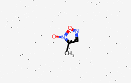 Cc1cno[n+]1[O-]